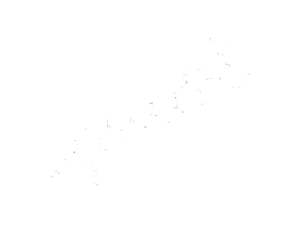 Cn1c(-c2ccccc2C(F)(F)F)nnc1C12CCC(CNC(=O)Nc3ccc(C#N)c(C#N)c3)(CC1)CC2